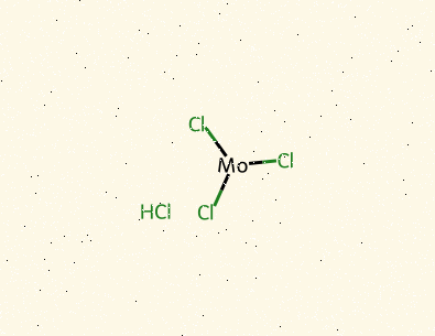 Cl.[Cl][Mo]([Cl])[Cl]